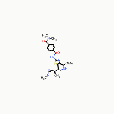 C=N/C=C\C(=C)C1=c2sc(NC(=O)c3ccc(C(=O)N(C)C)cc3)nc2=C(OC)NC1